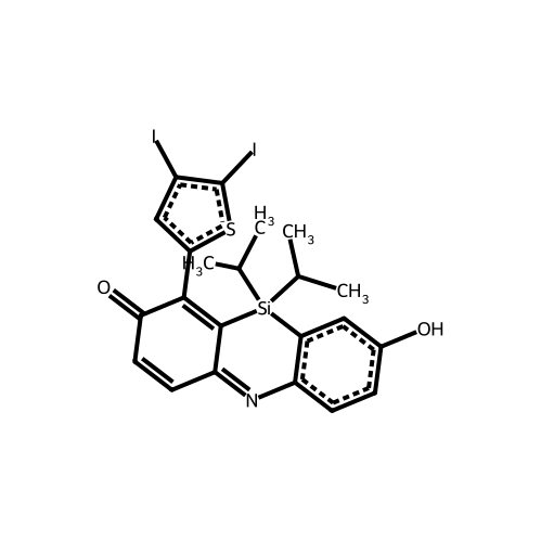 CC(C)[Si]1(C(C)C)C2=C(c3cc(I)c(I)s3)C(=O)C=CC2=Nc2ccc(O)cc21